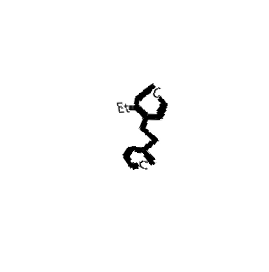 CCC1=C(CCc2c#cccc2)C=CCC=C1